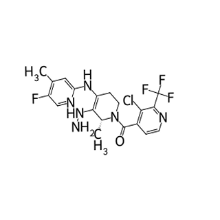 Cc1cc(NC2=C(NN)[C@@H](C)N(C(=O)c3ccnc(C(F)(F)F)c3Cl)CC2)ncc1F